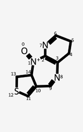 O=[N+]1C2=C(CCC=N2)N=CC2=CSCC21